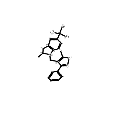 Cc1onc(-c2ccccc2)c1CN1c2ccc(C(O)(C(F)(F)F)C(F)(F)F)cc2CC1C